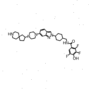 O=C(NCC1CCC(n2cc3ccc(N4CCN(C5CCC6(CCNCC6)C5)CC4)cc3n2)CC1)c1cc(F)c(O)c(F)c1F